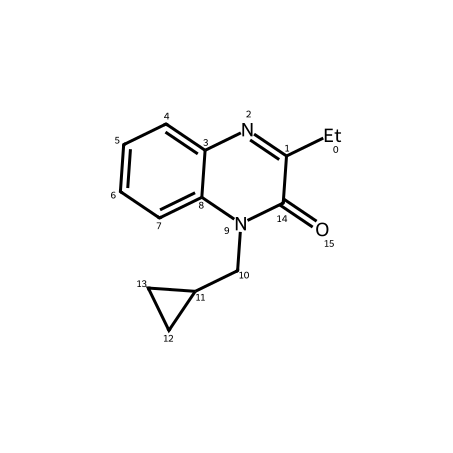 CCc1nc2ccccc2n(CC2CC2)c1=O